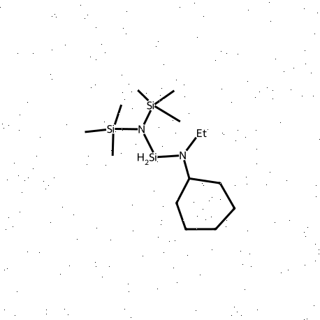 CCN([SiH2]N([Si](C)(C)C)[Si](C)(C)C)C1CCCCC1